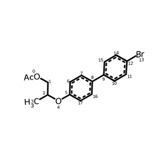 CC(=O)OCC(C)Oc1ccc(-c2ccc(Br)cc2)cc1